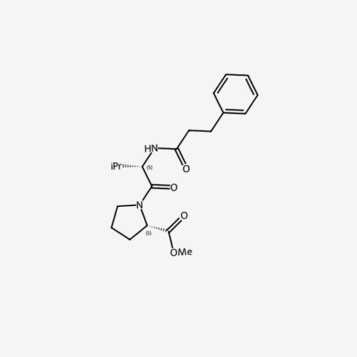 COC(=O)[C@@H]1CCCN1C(=O)[C@@H](NC(=O)CCc1ccccc1)C(C)C